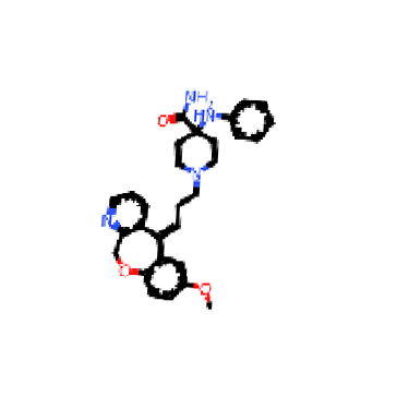 COc1ccc2c(c1)/C(=C/CCN1CCC(Nc3ccccc3)(C(N)=O)CC1)c1cccnc1CO2